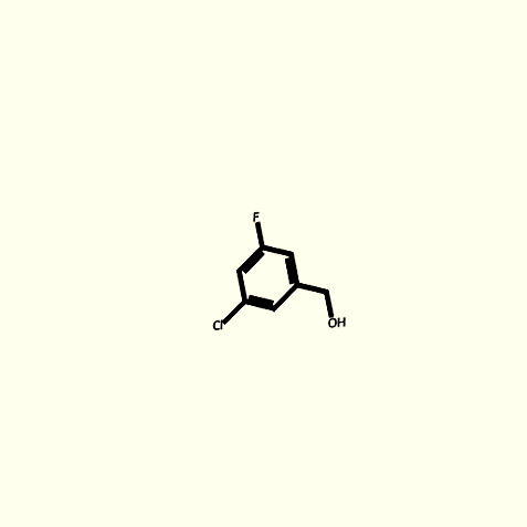 OCc1[c]c(Cl)cc(F)c1